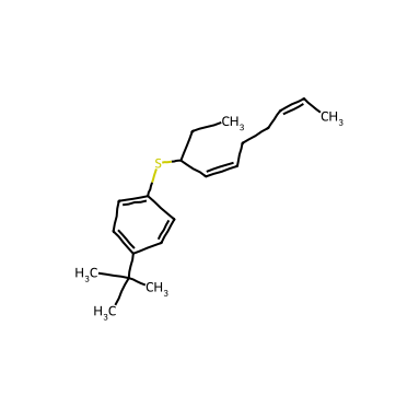 C/C=C\CC/C=C\C(CC)Sc1ccc(C(C)(C)C)cc1